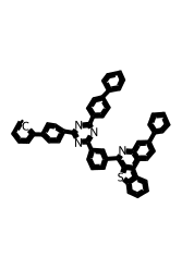 c1ccc(-c2ccc(-c3nc(-c4ccc(-c5ccccc5)cc4)nc(-c4cccc(-c5nc6cc(-c7ccccc7)ccc6c6c5sc5ccccc56)c4)n3)cc2)cc1